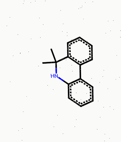 CC1(C)Nc2ccccc2-c2ccccc21